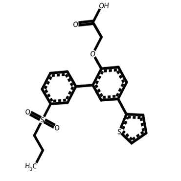 CCCS(=O)(=O)c1cccc(-c2cc(-c3cccs3)ccc2OCC(=O)O)c1